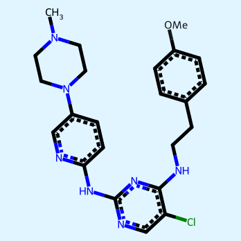 COc1ccc(CCNc2nc(Nc3ccc(N4CCN(C)CC4)cn3)ncc2Cl)cc1